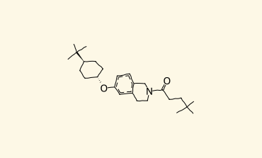 CC(C)(C)CCC(=O)N1CCc2cc(O[C@H]3CC[C@H](C(C)(C)C)CC3)ccc2C1